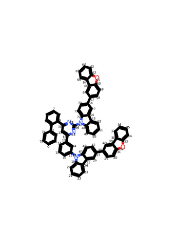 c1ccc(-c2ccccc2-c2cc(-c3cccc(-n4c5ccccc5c5cc(-c6ccc7oc8ccccc8c7c6)ccc54)c3)nc(-n3c4ccccc4c4cc(-c5ccc6oc7ccccc7c6c5)ccc43)n2)cc1